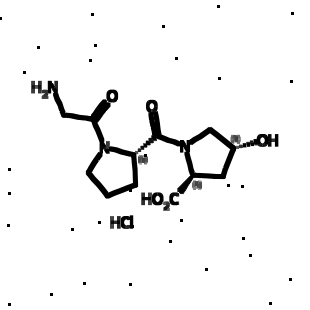 Cl.NCC(=O)N1CCC[C@H]1C(=O)N1C[C@H](O)C[C@H]1C(=O)O